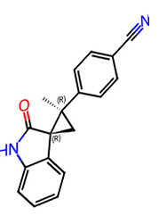 C[C@]1(c2ccc(C#N)cc2)C[C@@]12C(=O)Nc1ccccc12